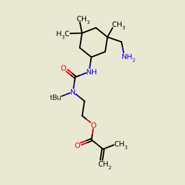 C=C(C)C(=O)OCCN(C(=O)NC1CC(C)(C)CC(C)(CN)C1)C(C)(C)C